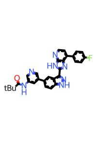 CC(C)(C)C(=O)Nc1cncc(-c2ccc3[nH]nc(-c4nc5c(-c6ccc(F)cc6)ccnc5[nH]4)c3c2)c1